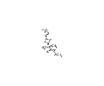 CCOC(=O)C(C)(C)C1CC(=COC)C1